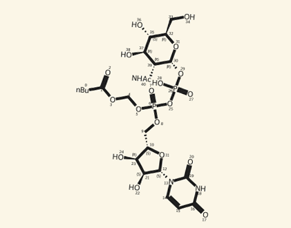 CCCCC(=O)OCOP(=O)(OC[C@@H]1O[C@H](n2ccc(=O)[nH]c2=O)[C@@H](O)[C@H]1O)OP(=O)(O)O[C@H]1O[C@H](CO)[C@@H](O)[C@H](O)[C@H]1NC(C)=O